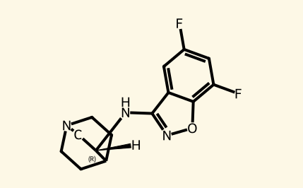 Fc1cc(F)c2onc(N[C@H]3CN4CCC3CC4)c2c1